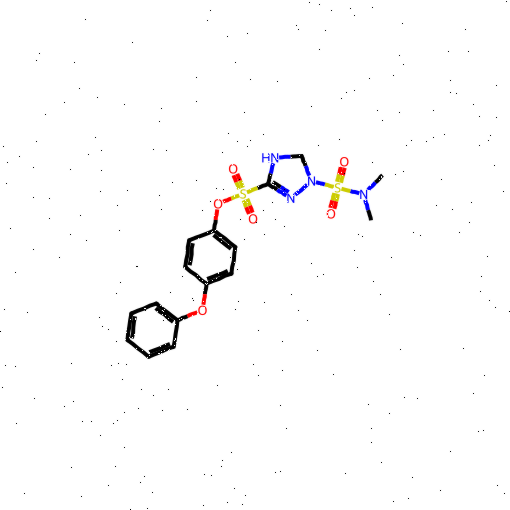 CN(C)S(=O)(=O)N1CNC(S(=O)(=O)Oc2ccc(Oc3ccccc3)cc2)=N1